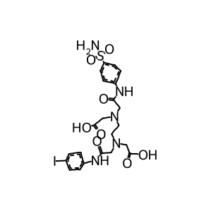 NS(=O)(=O)c1ccc(NC(=O)CN(CCN(CC(=O)O)CC(=O)Nc2ccc(I)cc2)CC(=O)O)cc1